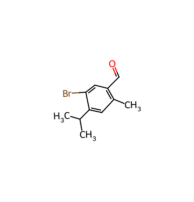 Cc1cc(C(C)C)c(Br)cc1C=O